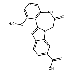 COc1cccc2c1-c1cc3ccc(C(=O)O)cc3n1CC(=O)N2